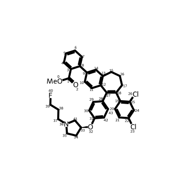 COC(=O)c1ccccc1-c1ccc2c(c1)CCCC(c1ccc(Cl)cc1Cl)=C2c1ccc(O[C@H]2CCN(CCCF)C2)cc1